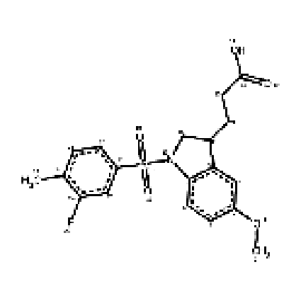 COc1ccc2c(c1)C(CCC(=O)O)CN2S(=O)(=O)c1ccc(C)c(F)c1